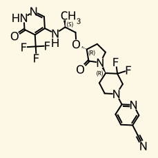 C[C@@H](CO[C@@H]1CCN([C@@H]2CCN(c3ccc(C#N)cn3)CC2(F)F)C1=O)Nc1cn[nH]c(=O)c1C(F)(F)F